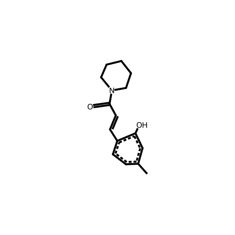 Cc1ccc(/C=C/C(=O)N2CCCCC2)c(O)c1